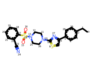 CCc1ccc(-c2csc(N3CCN(S(=O)(=O)c4ccccc4C#N)CC3)n2)cc1